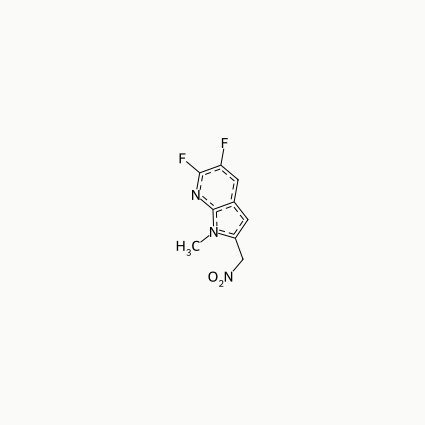 Cn1c(C[N+](=O)[O-])cc2cc(F)c(F)nc21